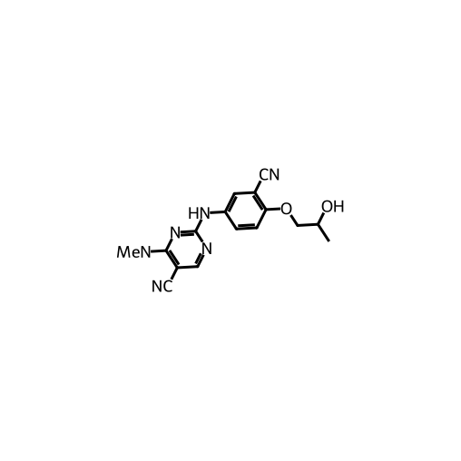 CNc1nc(Nc2ccc(OCC(C)O)c(C#N)c2)ncc1C#N